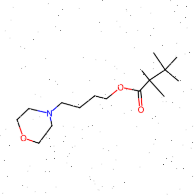 CC(C)(C)C(C)(C)C(=O)OCCCCN1CCOCC1